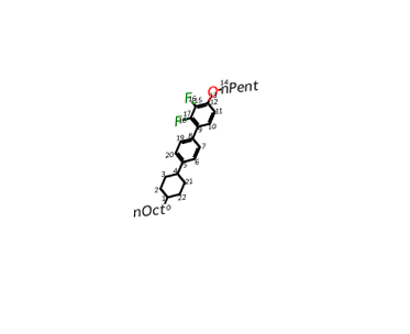 CCCCCCCCC1CCC(c2ccc(-c3ccc(OCCCCC)c(F)c3F)cc2)CC1